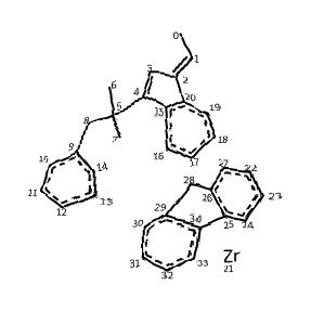 CC=C1C=C(C(C)(C)Cc2ccccc2)c2ccccc21.[Zr].c1ccc2c(c1)Cc1ccccc1-2